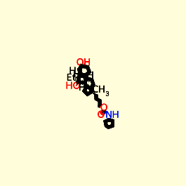 CC[C@H]1[C@@H](O)[C@@H]2[C@H](CC[C@]3(C)[C@@H](CCCCOC(=O)NC4CCCCC4)CC[C@@H]23)[C@@]2(C)CC[C@@H](O)C[C@@H]12